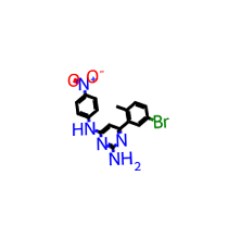 Cc1ccc(Br)cc1-c1cc(Nc2ccc([N+](=O)[O-])cc2)nc(N)n1